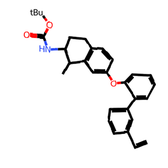 C=Cc1cccc(-c2ccccc2Oc2ccc3c(c2)C(C)C(NC(=O)OC(C)(C)C)CC3)c1